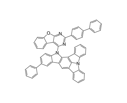 c1ccc(-c2ccc(-c3nc(-n4c5ccc(-c6ccccc6)cc5c5cc6c7ccccc7n7c8ccccc8c(c54)c67)c4c(n3)oc3ccccc34)cc2)cc1